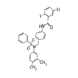 Cc1ccc(N(Cc2ccc(NC(=O)c3cc(Cl)ccc3F)cc2)S(=O)(=O)c2ccccc2)cc1C